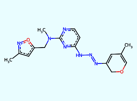 CC1=COCC(N=NNc2ccnc(N(C)Cc3cc(C)no3)n2)=C1